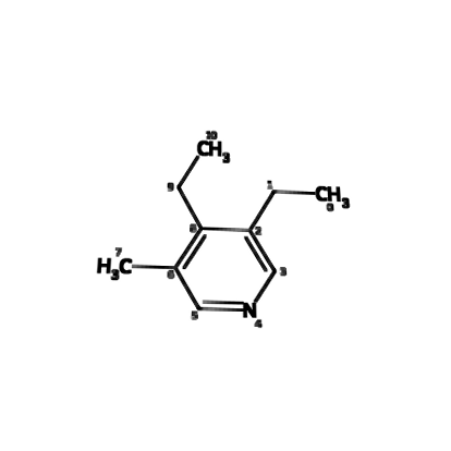 CCc1cncc(C)c1CC